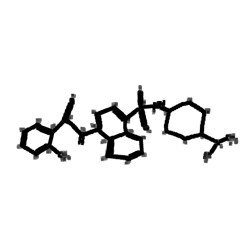 CCN(C)C1CCC(NS(=O)(=O)c2ccc(NC(=O)c3ccccc3C)c3ccccc23)CC1